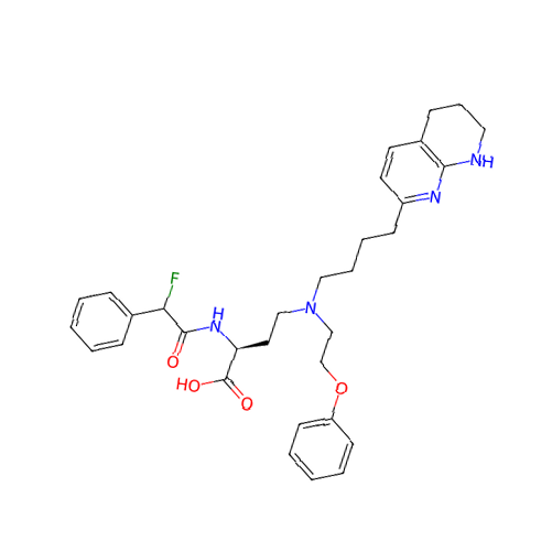 O=C(N[C@@H](CCN(CCCCc1ccc2c(n1)NCCC2)CCOc1ccccc1)C(=O)O)C(F)c1ccccc1